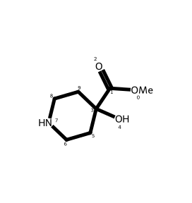 COC(=O)C1(O)CCNCC1